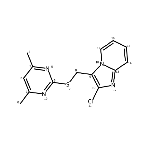 Cc1cc(C)nc(SCc2c(Cl)nc3ccccn23)n1